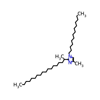 CCCCCCCCCCCCCCCCC(C)c1nc(C)cn1CCCCCCCCCCCCCC